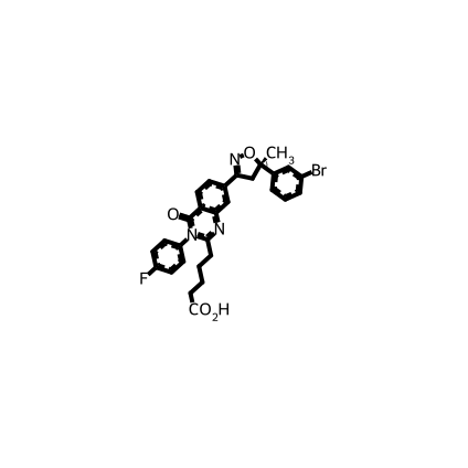 C[C@@]1(c2cccc(Br)c2)CC(c2ccc3c(=O)n(-c4ccc(F)cc4)c(CCCCC(=O)O)nc3c2)=NO1